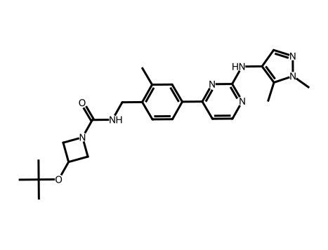 Cc1cc(-c2ccnc(Nc3cnn(C)c3C)n2)ccc1CNC(=O)N1CC(OC(C)(C)C)C1